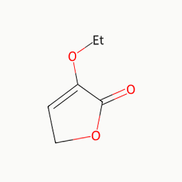 CCOC1=CCOC1=O